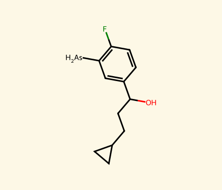 OC(CCC1CC1)c1ccc(F)c([AsH2])c1